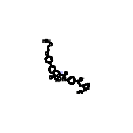 CCCCOCCOc1ccc(-c2ccc(S(=O)(=O)C(C)C)c(/C=C/C(=O)Nc3ccc([S@+]([O-])Cc4cncn4CCC)cc3)c2)cc1